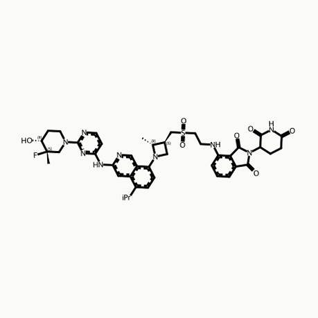 CC(C)c1ccc(N2C[C@H](CS(=O)(=O)CCNc3cccc4c3C(=O)N(C3CCC(=O)NC3=O)C4=O)[C@H]2C)c2cnc(Nc3ccnc(N4CC[C@@H](O)[C@@](C)(F)C4)n3)cc12